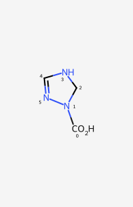 O=C(O)N1CNC=N1